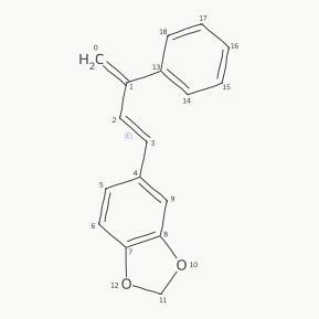 C=C(/C=C/c1ccc2c(c1)OCO2)c1ccccc1